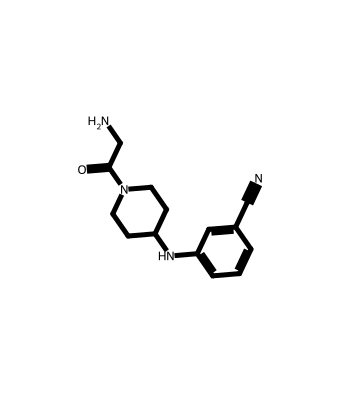 N#Cc1cccc(NC2CCN(C(=O)CN)CC2)c1